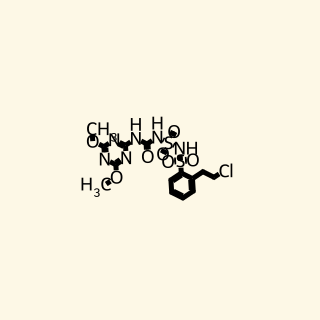 COc1nc(NC(=O)NS(=O)(=O)NS(=O)(=O)c2ccccc2CCCl)nc(OC)n1